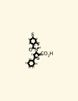 CN(C(=O)c1ccc(F)cc1F)c1cc(-c2ccccc2)sc1C(=O)O